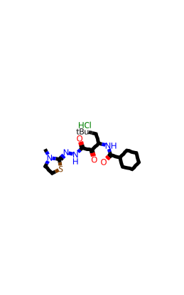 CN1CCSC1=NNC(=O)C(=O)C(CC(C)(C)C)NC(=O)C1CCCCC1.Cl